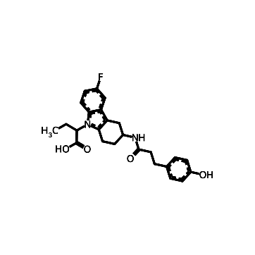 CCC(C(=O)O)n1c2c(c3cc(F)ccc31)CC(NC(=O)CCc1ccc(O)cc1)CC2